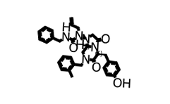 C=CCN(C(=O)NCc1ccccc1)N1CC(=O)N2[C@@H](Cc3ccc(O)cc3)C(=O)N(Cc3ccccc3C)C[C@@H]21